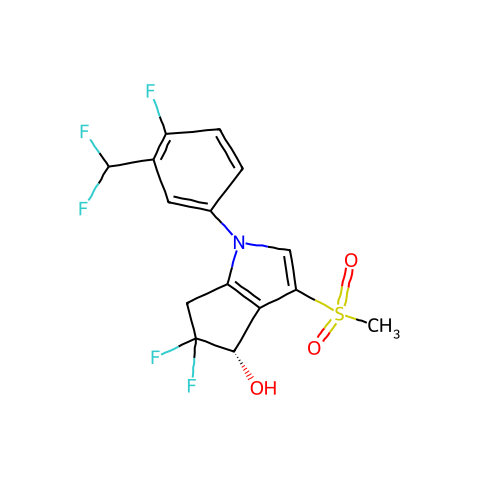 CS(=O)(=O)c1cn(-c2ccc(F)c(C(F)F)c2)c2c1[C@H](O)C(F)(F)C2